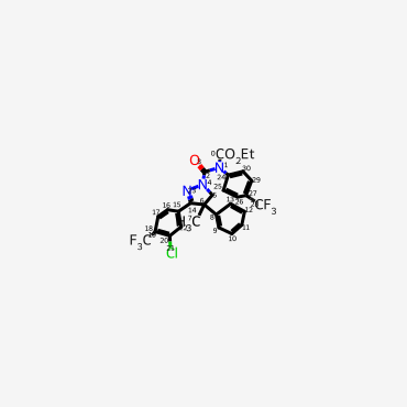 CCOC(=O)N(C(=O)N1CC(C)(c2ccccc2)C(c2ccc(C(F)(F)F)c(Cl)c2)=N1)c1ccc(C(F)(F)F)cc1